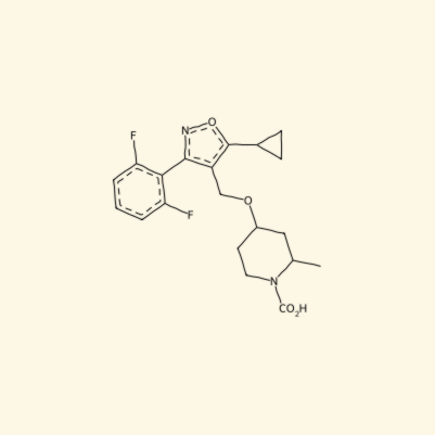 CC1CC(OCc2c(-c3c(F)cccc3F)noc2C2CC2)CCN1C(=O)O